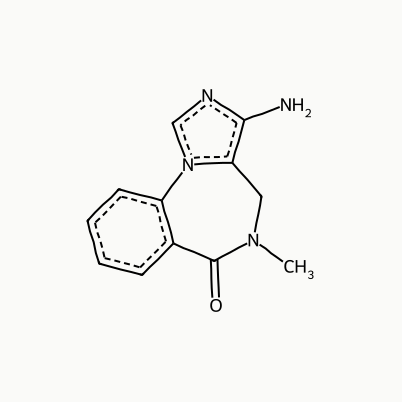 CN1Cc2c(N)ncn2-c2ccccc2C1=O